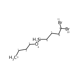 CCCCO[SiH2]CCCC(Br)Br